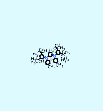 Cc1ccc2c(c1)B1c3cc(C)ccc3N(c3cc(C(C)(C)C)cc(C(C)(C)C)c3)c3cccc(c31)N2c1cc(C(C)(C)C)cc(C(C)(C)C)c1